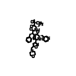 CC(C)C[C@H](NC(=O)[C@H](Cc1ccccc1)NC(=O)[C@H](Cc1cccnc1)NC(=O)c1cc(CN2CCOCC2)on1)C(=O)[C@@]1(C)CO1